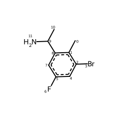 Cc1c(Br)cc(F)cc1C(C)N